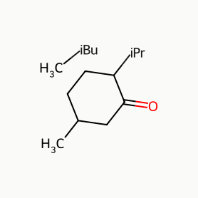 CC1CCC(C(C)C)C(=O)C1.[CH2]CC(C)C